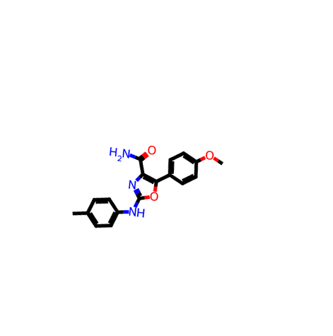 COc1ccc(-c2oc(Nc3ccc(C)cc3)nc2C(N)=O)cc1